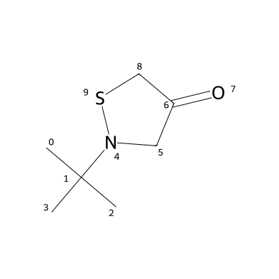 CC(C)(C)N1CC(=O)CS1